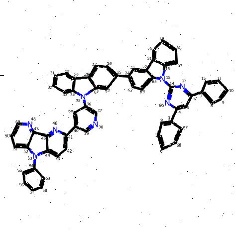 c1ccc(-c2cc(-c3ccccc3)nc(-n3c4ccccc4c4cc(-c5ccc6c7ccccc7n(-c7cncc(-c8ccc9c(n8)c8ncccc8n9-c8ccccc8)c7)c6c5)ccc43)n2)cc1